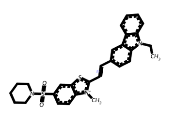 CCn1c2ccccc2c2cc(/C=C/c3sc4cc(S(=O)(=O)N5CCCCC5)ccc4[n+]3C)ccc21